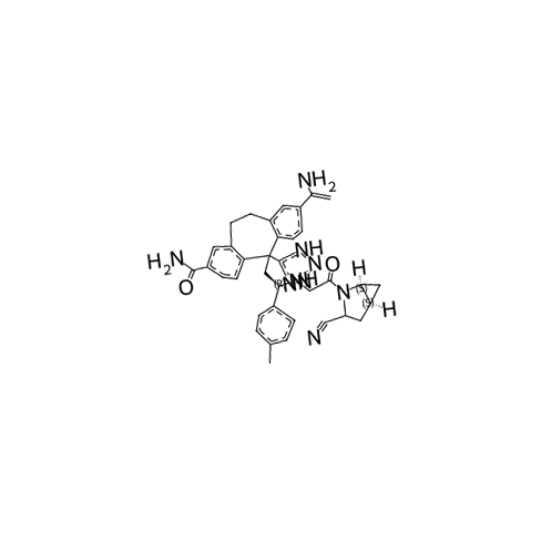 C=C(N)c1ccc2c(c1)CCc1cc(C(N)=O)ccc1C2(C[C@@H](NCC(=O)N1C(C#N)C[C@@H]2C[C@@H]21)c1ccc(C)cc1)c1nnn[nH]1